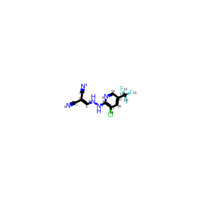 N#CC(C#N)=CNNc1ncc(C(F)(F)F)cc1Cl